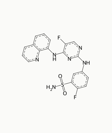 NS(=O)(=O)c1cc(Nc2ncc(F)c(Nc3cccc4cccnc34)n2)ccc1F